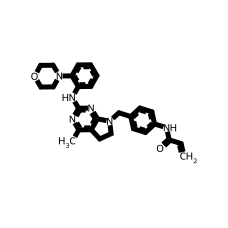 C=CC(=O)Nc1ccc(CN2CCc3c(C)nc(Nc4ccccc4N4CCOCC4)nc32)cc1